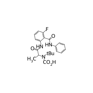 CC(C(=O)Nc1cccc(F)c1C(=O)Nc1ccccc1)N(C(=O)O)C(C)(C)C